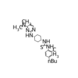 CCCCc1ccc(NC(=S)N[C@H]2CC[C@@H](Nc3nccc(N(C)C)n3)CC2)c(C)c1